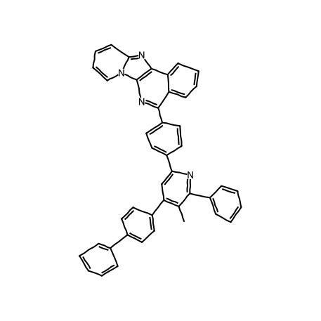 Cc1c(-c2ccc(-c3ccccc3)cc2)cc(-c2ccc(-c3nc4c(nc5ccccn54)c4ccccc34)cc2)nc1-c1ccccc1